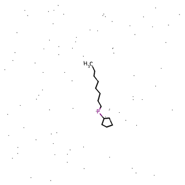 CCCCCCCC[P]C1CCCC1